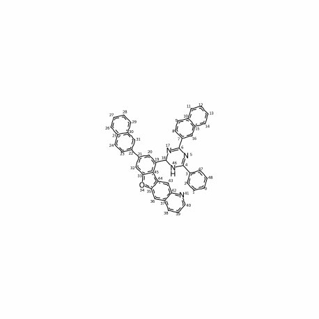 c1ccc(C2=NC(c3ccc4ccccc4c3)=NC(c3cc(-c4ccc5ccccc5c4)cc4oc5cc6cccnc6cc5c34)N2)cc1